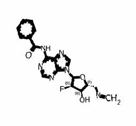 C=NC[C@H]1OC(n2cnc3c(NC(=O)c4ccccc4)ncnc32)[C@H](F)[C@@H]1O